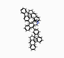 c1ccc2c(c1)-c1ccc(-c3c4ccccc4c(-c4ccc5c(c4)C4(CCc6cc7ccccc7cc64)c4ccccc4-5)c4cnccc34)cc1C21CCc2cc3ccccc3cc21